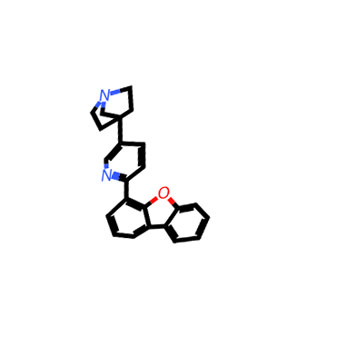 c1ccc2c(c1)oc1c(-c3ccc(C45CCN(CC4)C5)cn3)cccc12